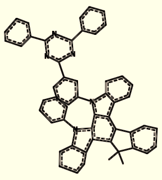 CC1(C)c2ccccc2-c2c1c1c3ccccc3n(-c3ccccc3)c1c1c2c2ccccc2n1-c1cccc(-c2nc(-c3ccccc3)nc(-c3ccccc3)n2)c1